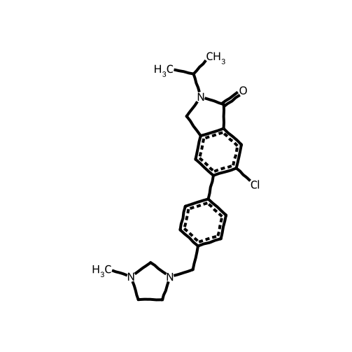 CC(C)N1Cc2cc(-c3ccc(CN4CCN(C)C4)cc3)c(Cl)cc2C1=O